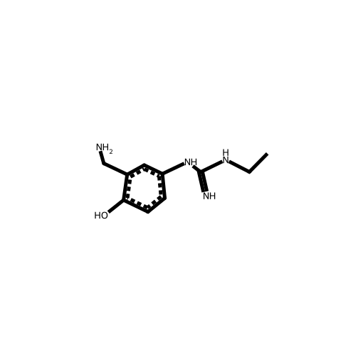 CCNC(=N)Nc1ccc(O)c(CN)c1